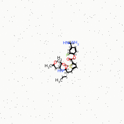 CCC[C@@H](Cc1ccc(C(=O)Oc2ccc(C(=N)N)cc2F)s1)C(=O)N[C@@H](CC(C)=O)C(C)=O